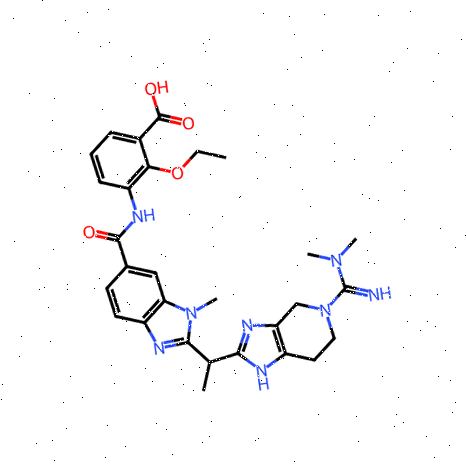 CCOc1c(NC(=O)c2ccc3nc(C(C)c4nc5c([nH]4)CCN(C(=N)N(C)C)C5)n(C)c3c2)cccc1C(=O)O